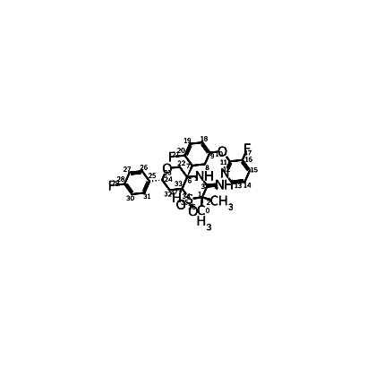 CC1(C)C(=N)N[C@@]2(C3CC(Oc4ncccc4F)=CC=C3F)CO[C@@H](c3ccc(F)cc3)C[C@H]2S1(=O)=O